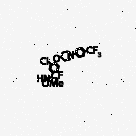 CONC(=O)c1cc(Cl)c(OC2CCN(c3ccc(C(F)(F)F)cc3)CC2)cc1F